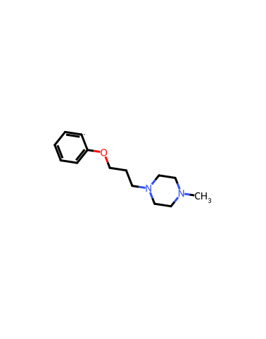 CN1CCN(CCCOc2[c]cccc2)CC1